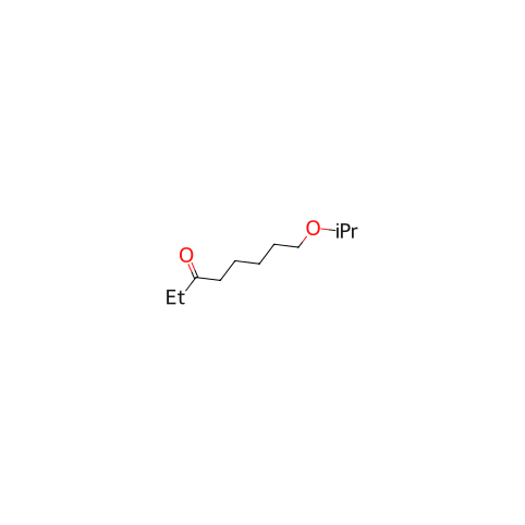 CCC(=O)CCCCCOC(C)C